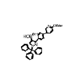 COc1ccc(-c2ccc(-c3nn(C(c4ccccc4)(c4ccccc4)c4ccccc4)cc3B(O)O)cc2)cn1